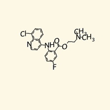 CN(C)CCOC(=O)c1cc(F)ccc1Nc1ccnc2c(Cl)cccc12